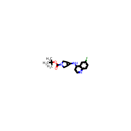 CC(C)(C)OC(=O)N1CC2C(C1)C2Nc1ccnc2ccc(F)cc12